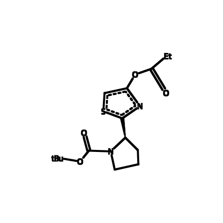 CCC(=O)Oc1csc([C@H]2CCCN2C(=O)OC(C)(C)C)n1